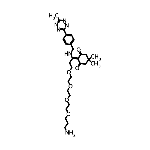 Cc1nnc(-c2ccc(CNC(CCOCCOCCOCCOCCCN)=C3C(=O)CC(C)(C)CC3=O)cc2)nn1